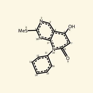 CSc1ncc2c(O)cc(=O)n(-c3ccccc3)c2n1